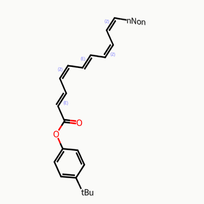 CCCCCCCCC\C=C/C=C\C=C\C=C/C=C/C(=O)Oc1ccc(C(C)(C)C)cc1